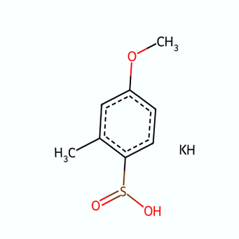 COc1ccc(S(=O)O)c(C)c1.[KH]